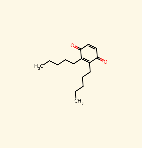 CCCCCC1=C(CCCCC)C(=O)C=CC1=O